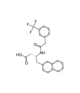 O=C(O)C[C@@H](Cc1ccc2ccccc2c1)NC(=O)Cc1cccc(C(F)(F)F)c1